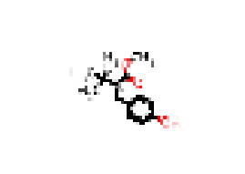 COC(=O)[C@@H](Cc1ccc(O)cc1)C(C)(C)C